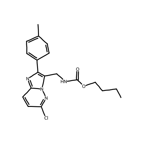 CCCCOC(=O)NCc1c(-c2ccc(C)cc2)nc2ccc(Cl)nn12